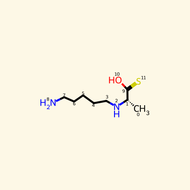 C[C@H](NCCCCCN)C(O)=S